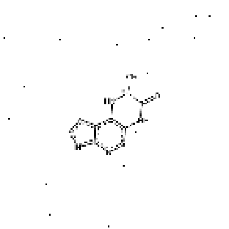 C[C@H]1Nc2c(cnc3[nH]ccc23)NC1=O